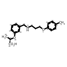 Cc1ccc(OCCCNCc2cccc(O[C@H](C)C(=O)O)c2)cc1